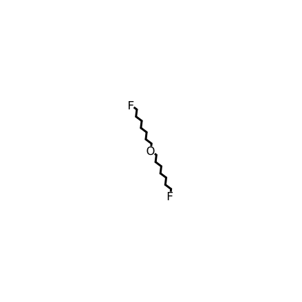 FCCCCCCCOCCCCCCCF